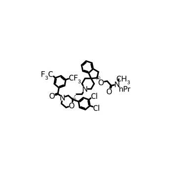 CCCN(C)C(=O)CO[C@H]1Cc2ccccc2C12CCN(CC[C@@]1(c3ccc(Cl)c(Cl)c3)CN(C(=O)c3cc(C(F)(F)F)cc(C(F)(F)F)c3)CCO1)CC2